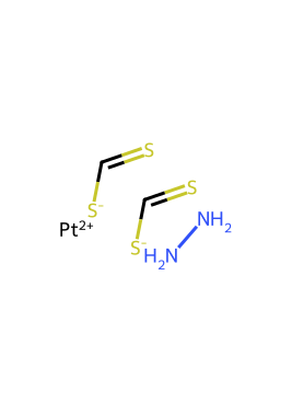 NN.S=C[S-].S=C[S-].[Pt+2]